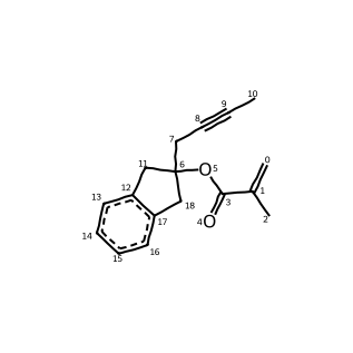 C=C(C)C(=O)OC1(CC#CC)Cc2ccccc2C1